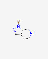 BrN1N=CC2CCNCC21